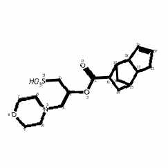 O=C(OC(CN1CCOCC1)CS(=O)(=O)O)C1CC2CC1C1C=CCC21